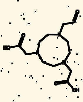 O=[C]CN1CCN(CC(=O)O)CCN(CC(=O)O)CC1